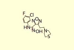 O/N=C(/Nc1ccc(F)c(Cl)c1)c1nonc1CCN1CCSCC1